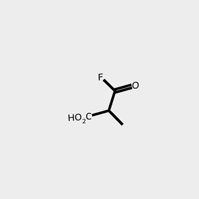 CC(C(=O)O)C(=O)F